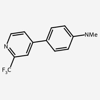 CNc1ccc(-c2ccnc(C(F)(F)F)c2)cc1